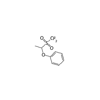 CC(Oc1ccccc1)S(=O)(=O)C(F)(F)F